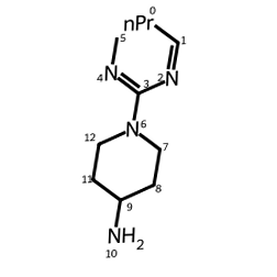 CCC/C=N\C(=N/C)N1CCC(N)CC1